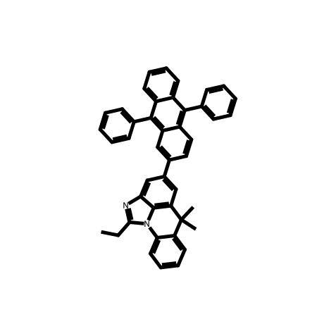 CCc1nc2cc(-c3ccc4c(-c5ccccc5)c5ccccc5c(-c5ccccc5)c4c3)cc3c2n1-c1ccccc1C3(C)C